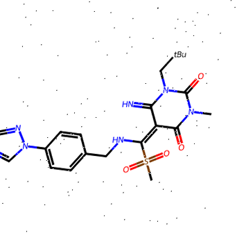 CN1C(=O)/C(=C(/NCc2ccc(-n3cncn3)cc2)S(C)(=O)=O)C(=N)N(CC(C)(C)C)C1=O